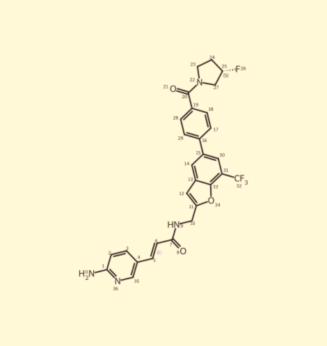 Nc1ccc(/C=C/C(=O)NCc2cc3cc(-c4ccc(C(=O)N5CC[C@H](F)C5)cc4)cc(C(F)(F)F)c3o2)cn1